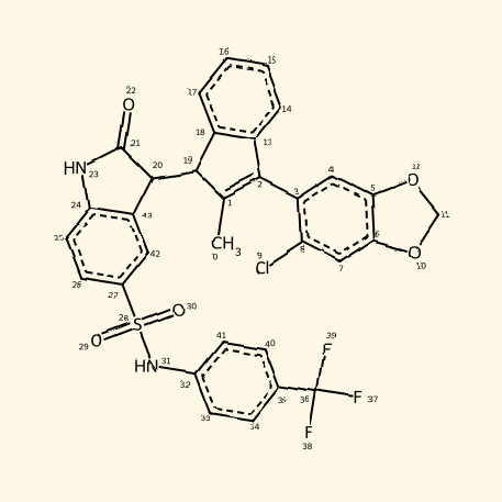 CC1=C(c2cc3c(cc2Cl)OCO3)c2ccccc2C1C1C(=O)Nc2ccc(S(=O)(=O)Nc3ccc(C(F)(F)F)cc3)cc21